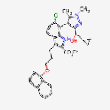 CCOC(=O)c1[nH]c2c(-c3c(C(O)C4CC4)nn(C)c3C)c(Cl)ccc2c1CCCOc1cccc2ccccc12